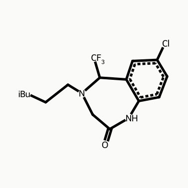 CCC(C)CCN1CC(=O)Nc2ccc(Cl)cc2C1C(F)(F)F